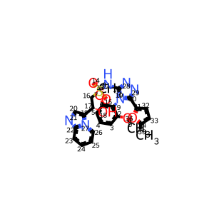 COc1cccc(OC)c1-n1c(NS(=O)(=O)C[C@H](O)c2cnc3ccccn23)nnc1-c1ccc(C)o1